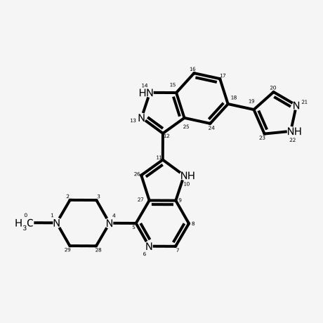 CN1CCN(c2nccc3[nH]c(-c4n[nH]c5ccc(-c6cn[nH]c6)cc45)cc23)CC1